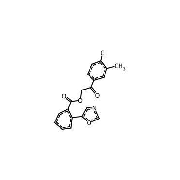 Cc1cc(C(=O)COC(=O)c2ccccc2-c2cnco2)ccc1Cl